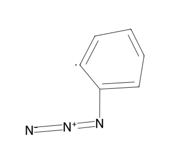 [N-]=[N+]=Nc1[c]cccc1